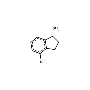 [C-]#[N+]c1cccc2c1CC[C@H]2N